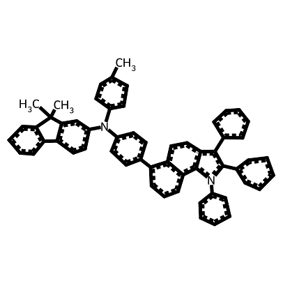 Cc1ccc(N(c2ccc(-c3cccc4c3ccc3c(-c5ccccc5)c(-c5ccccc5)n(-c5ccccc5)c34)cc2)c2ccc3c(c2)C(C)(C)c2ccccc2-3)cc1